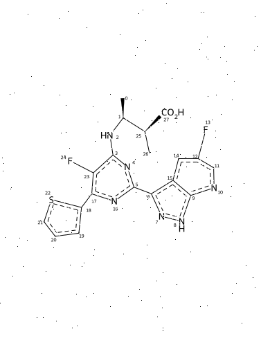 C[C@H](Nc1nc(-c2n[nH]c3ncc(F)cc23)nc(-c2cccs2)c1F)[C@H](C)C(=O)O